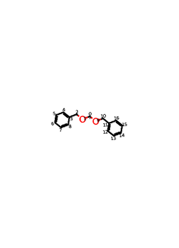 [CH](OCc1ccccc1)OCc1ccccc1